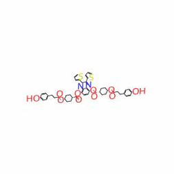 O=C(CCc1ccc(O)cc1)O[C@H]1CC[C@H](C(=O)Oc2ccc(OC(=O)[C@H]3CC[C@H](OC(=O)CCc4ccc(O)cc4)CC3)c3nc(-c4cccs4)c(-c4cccs4)nc23)CC1